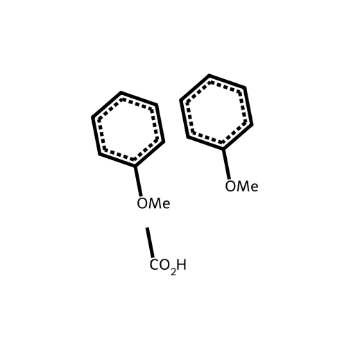 CC(=O)O.COc1ccccc1.COc1ccccc1